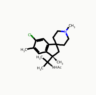 CC(=O)NC(C)(C)[C@@]1(C)CC2(CCN(C)CC2)c2cc(Cl)c(C)cc21